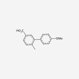 COc1ccc(-c2cc(C(=O)O)ccc2C)cc1